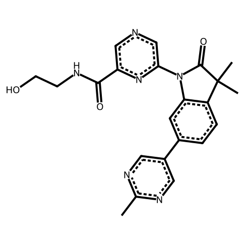 Cc1ncc(-c2ccc3c(c2)N(c2cncc(C(=O)NCCO)n2)C(=O)C3(C)C)cn1